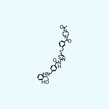 CC(=O)N1CCN(C(=O)c2cccc(CSc3cnc(NC(=O)c4ccc(CN[C@@H](CO)c5ccccc5)cc4)s3)c2)CC1